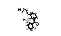 CCSc1cccc(C(=O)c2ccccc2)c1C